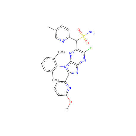 CCOc1cccc(-c2nc3nc(Cl)c(C(c4ccc(C)cn4)S(N)(=O)=O)nc3n2-c2c(OC)cccc2OC)n1